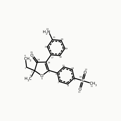 CCC1(C)OC(c2ccc(S(C)(=O)=O)cc2)=C(c2cccc(N)c2)C1=O